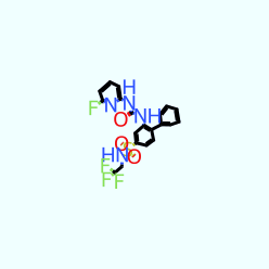 O=C(Nc1cccc(F)n1)Nc1cc(S(=O)(=O)NCC(F)(F)F)ccc1-c1ccccc1